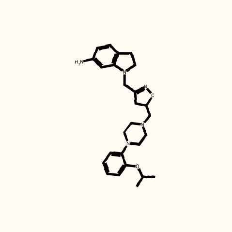 CC(C)Oc1ccccc1N1CCN(CC2CC(CN3CCc4ccc(N)cc43)=NO2)CC1